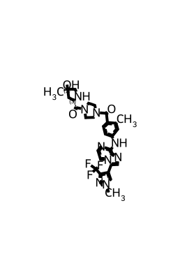 Cc1cc(Nc2nccn3c(-c4cn(C)nc4C(F)(F)F)cnc23)ccc1C(=O)N1CCN(C(=O)[C@@H]2C[C@](C)(O)CN2)CC1